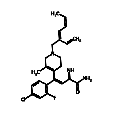 C=C/C(=C\C=C/C)CN1CCC(/C(=C\C(=N)C(N)=O)c2ccc(Cl)cc2F)=C(C)C1